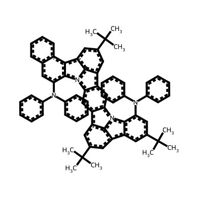 CC(C)(C)c1cc(N(c2ccccc2)c2ccccc2)c2c(c1)c1cc(C(C)(C)C)cc3c4cc5c(cc4n2c31)c1cc(C(C)(C)C)cc2c3c4ccccc4cc(N(c4ccccc4)c4ccccc4)c3n5c12